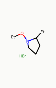 Br.CCON1CCCC1CC